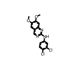 COc1cc2cnc(Nc3ccc(Cl)c(Cl)c3)nc2cc1OC